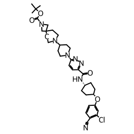 CC(C)(C)OC(=O)N1CC2(CCN(C3CCN(c4ccc(C(=O)N[C@H]5CC[C@H](Oc6ccc(C#N)c(Cl)c6)CC5)nn4)CC3)CC2)C1